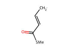 [CH2]C=CC(=O)SC